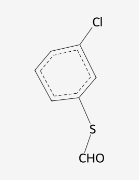 O=CSc1cccc(Cl)c1